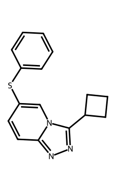 c1ccc(Sc2ccc3nnc(C4CCC4)n3c2)cc1